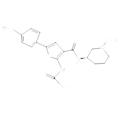 COc1ccc(-c2cc(C(=O)N[C@@H]3CCCN(C(=O)O)C3)c(NC(N)=O)s2)cc1